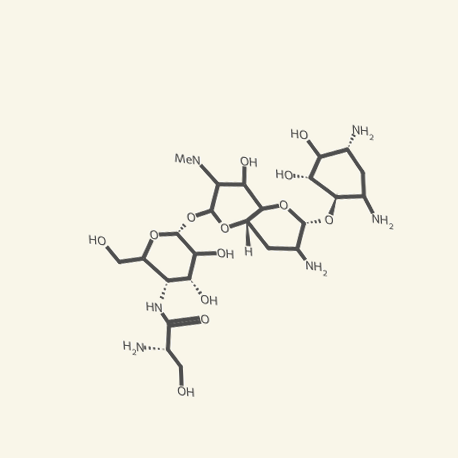 CNC1C(O[C@H]2OC(CO)[C@@H](NC(=O)[C@@H](N)CO)[C@@H](O)C2O)O[C@H]2CC(N)[C@@H](O[C@@H]3C(N)C[C@@H](N)C(O)[C@H]3O)OC2C1O